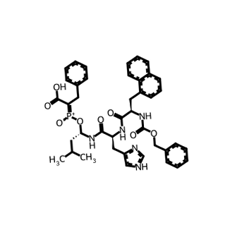 CC(C)C[C@@H](NC(=O)[C@H](Cc1c[nH]cn1)NC(=O)[C@@H](Cc1cccc2ccccc12)NC(=O)OCc1ccccc1)O/[P+]([O-])=C(\Cc1ccccc1)C(=O)O